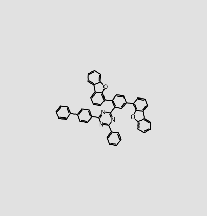 c1ccc(-c2ccc(-c3nc(-c4ccccc4)nc(-c4cc(-c5cccc6c5oc5ccccc56)ccc4-c4cccc5c4oc4ccccc45)n3)cc2)cc1